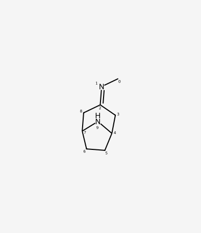 CN=C1CC2CCC(C1)N2